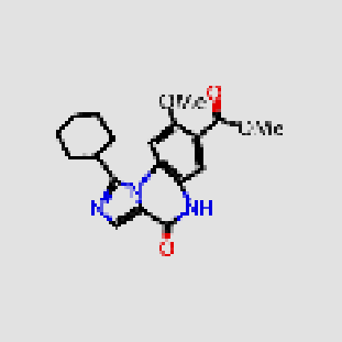 COC(=O)c1cc2[nH]c(=O)c3cnc(C4CCCCC4)n3c2cc1OC